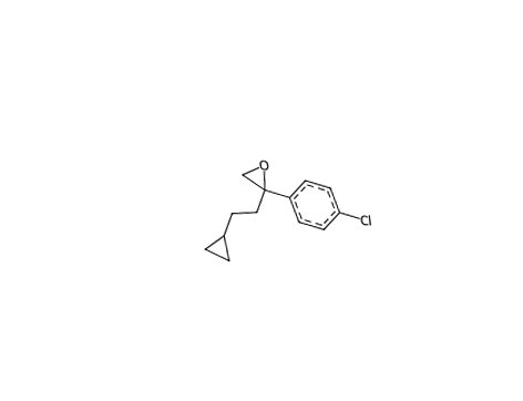 Clc1ccc(C2(CCC3CC3)CO2)cc1